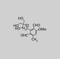 CCC(CO)(CO)CO.COc1cc(C)c(C=O)c(C)c1C=O